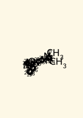 Cc1cc(C)nc(N2CC3CN(C(=O)c4ccc5ccccc5c4-n4nccn4)CC3C2)n1